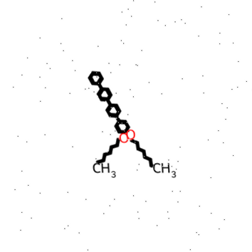 CCCCCCCCOC1(OCCCCCCCC)C=CC(c2ccc(-c3ccc(-c4ccccc4)cc3)cc2)=CC1